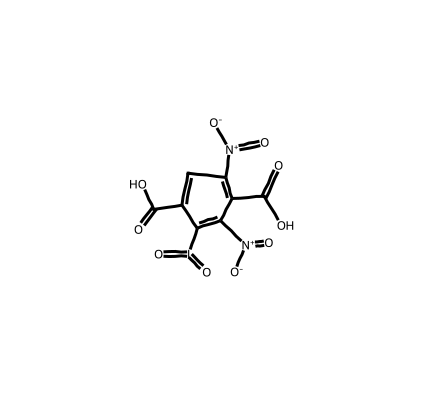 O=C(O)c1cc([N+](=O)[O-])c(C(=O)O)c([N+](=O)[O-])c1I(=O)=O